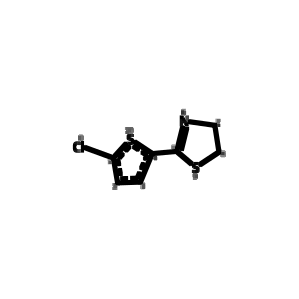 Clc1ccc(C2=N[CH]CS2)s1